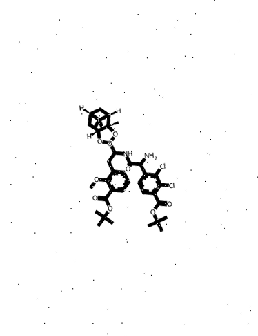 COc1c(CC(NC(=O)C(N)c2ccc(C(=O)OC(C)(C)C)c(Cl)c2Cl)B2O[C@@H]3C[C@@H]4C[C@@H](C4(C)C)[C@]3(C)O2)cccc1C(=O)OC(C)(C)C